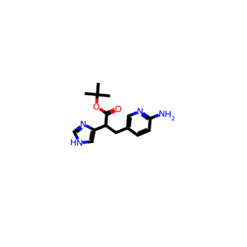 CC(C)(C)OC(=O)C(Cc1ccc(N)nc1)c1c[nH]cn1